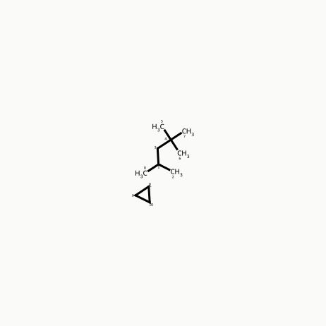 C[C](C)CC(C)(C)C.[CH]1CC1